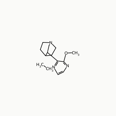 CC.COc1nccnc1C1CN2CCC1CC2